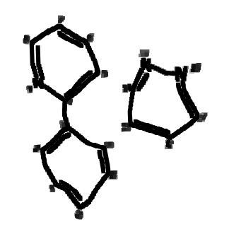 c1ccc(-c2ccccn2)cc1.c1ccnnc1